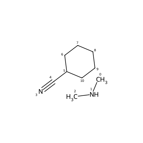 CNC.N#CC1CCCCC1